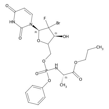 CCCOC(=O)[C@H](C)NP(=O)(OCC1O[C@@H](n2ccc(=O)[nH]c2=O)C(F)(Br)[C@H]1O)Oc1ccccc1